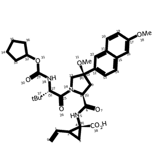 C=CC1C[C@]1(NC(=O)[C@@H]1C[C@@](OC)(c2ccc3cc(OC)ccc3c2)CN1C(=O)[C@@H](NC(=O)OC1CCCC1)C(C)(C)C)C(=O)O